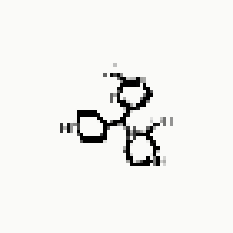 Cc1nccc(C(C2CCNCC2)N2CCNCC2O)n1